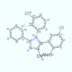 COc1ccc(Cl)cc1-c1c(C#N)nc(-c2ccccc2)n1-c1cccc(Cl)c1F